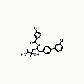 CC(O)(CN(Cc1ccc(-c2cccc(Cl)c2)cc1)NC(=O)c1cc(O)no1)C(=O)O